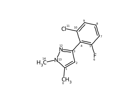 Cc1cc(-c2c(F)cccc2Cl)nn1C